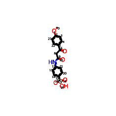 COc1ccc(C(=O)CC(=O)Nc2ccc(S(=O)(=O)O)cc2)cc1